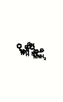 COCc1cc(-c2cnc(OC)c(C(=O)Nc3cnn(Cc4ccccc4)c3)c2)n2ncnc(N)c12